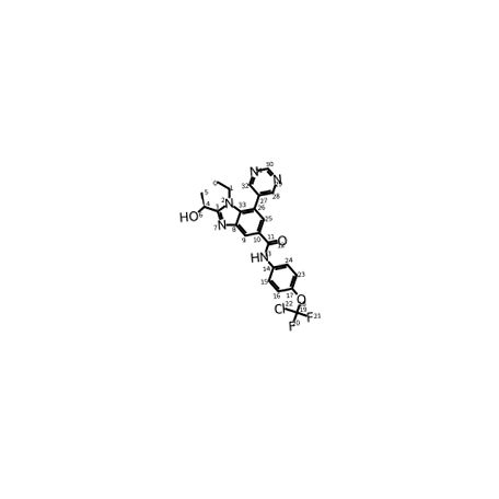 CCn1c([C@H](C)O)nc2cc(C(=O)Nc3ccc(OC(F)(F)Cl)cc3)cc(-c3cncnc3)c21